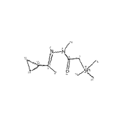 CC(=NN(C)C(=O)[CH2][Sn]([CH3])([CH3])[CH3])C1CC1